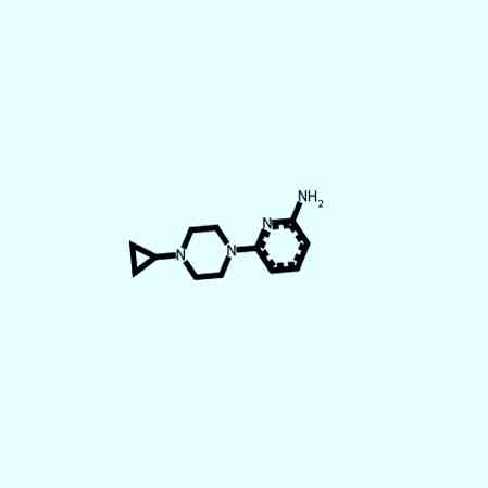 Nc1cccc(N2CCN(C3CC3)CC2)n1